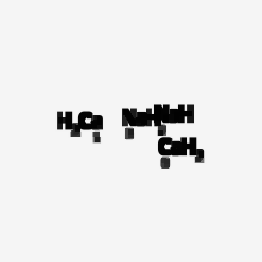 [CaH2].[CaH2].[NaH].[NaH]